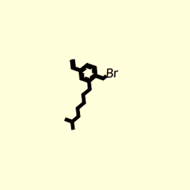 C=Cc1ccc(CBr)c(CCCCCC(C)C)c1